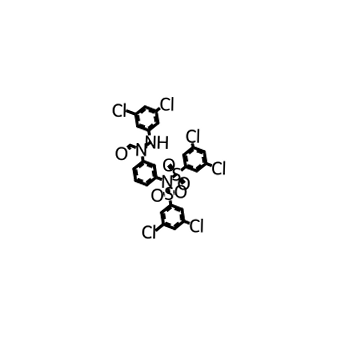 O=CN(Nc1cc(Cl)cc(Cl)c1)c1cccc(N(S(=O)(=O)c2cc(Cl)cc(Cl)c2)S(=O)(=O)c2cc(Cl)cc(Cl)c2)c1